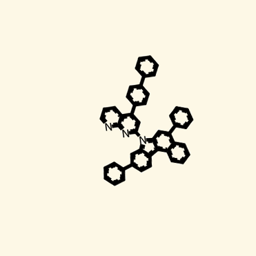 c1ccc(-c2ccc(-c3cc(-n4c5cc(-c6ccccc6)ccc5c5c6ccccc6c(-c6ccccc6)cc54)nc4ncccc34)cc2)cc1